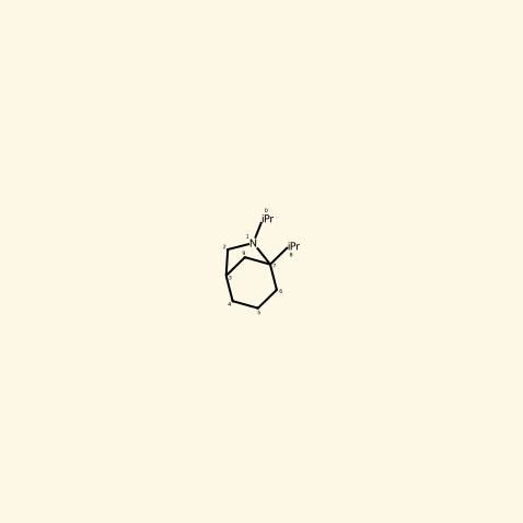 CC(C)N1CC2CCCC1(C(C)C)C2